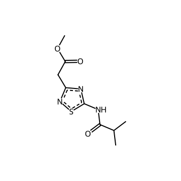 COC(=O)Cc1nsc(NC(=O)C(C)C)n1